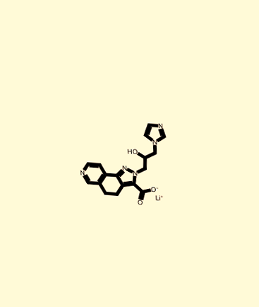 O=C([O-])c1c2c(nn1CC(O)Cn1ccnc1)-c1ccncc1CC2.[Li+]